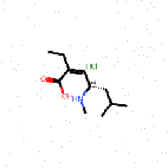 CCC(=C[C@H](CC(C)C)NC)C(=O)O.Cl